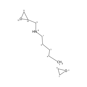 C1CO1.CCCCCNCC1CO1